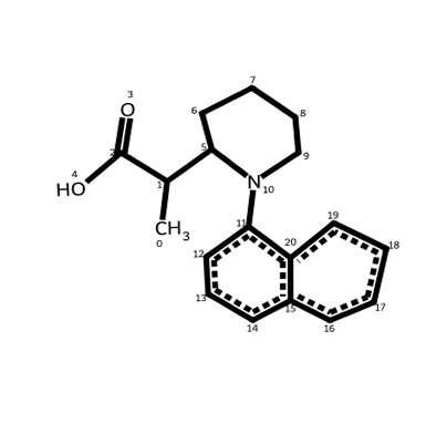 CC(C(=O)O)C1CCCCN1c1cccc2ccccc12